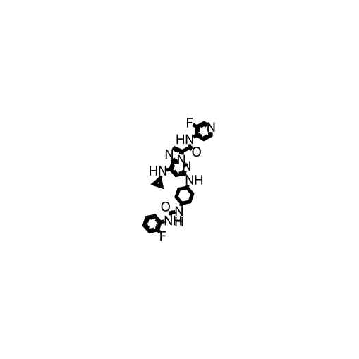 O=C(Nc1ccccc1F)NC1CCC(Nc2cc(NC3CC3)c3ncc(C(=O)Nc4ccncc4F)n3n2)CC1